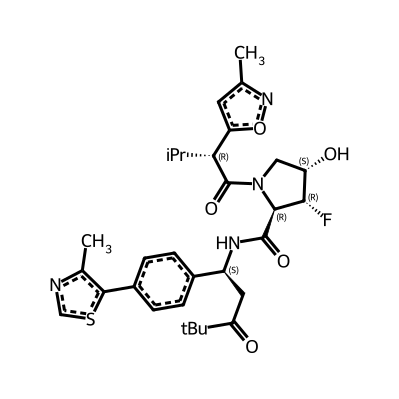 Cc1cc([C@H](C(=O)N2C[C@H](O)[C@H](F)[C@H]2C(=O)N[C@@H](CC(=O)C(C)(C)C)c2ccc(-c3scnc3C)cc2)C(C)C)on1